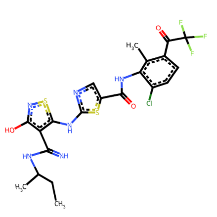 CCC(C)NC(=N)c1c(O)nsc1Nc1ncc(C(=O)Nc2c(Cl)ccc(C(=O)C(F)(F)F)c2C)s1